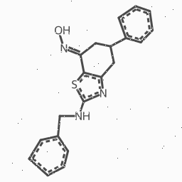 O/N=C1\CC(c2ccccc2)Cc2nc(NCc3ccccc3)sc21